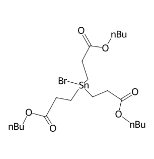 CCCCOC(=O)C[CH2][Sn]([Br])([CH2]CC(=O)OCCCC)[CH2]CC(=O)OCCCC